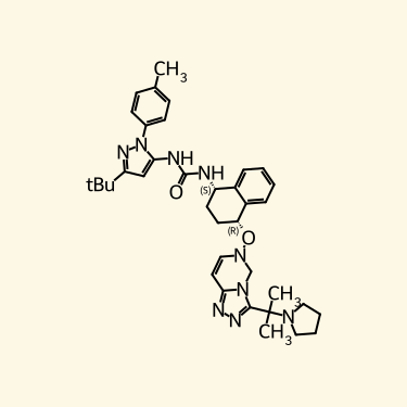 Cc1ccc(-n2nc(C(C)(C)C)cc2NC(=O)N[C@H]2CC[C@@H](ON3C=Cc4nnc(C(C)(C)N5CCCC5)n4C3)c3ccccc32)cc1